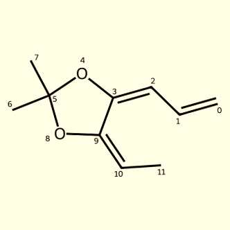 C=C/C=C1/OC(C)(C)O/C1=C/C